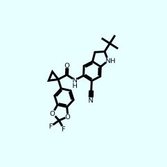 CC(C)(C)C1Cc2cc(NC(=O)C3(c4ccc5c(c4)OC(F)(F)O5)CC3)c(C#N)cc2N1